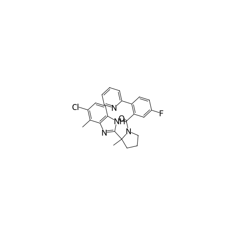 Cc1c(Cl)ccc2[nH]c(C3(C)CCCN3C(=O)c3cc(F)ccc3-c3ccccn3)nc12